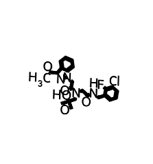 CC(=O)c1nn(CC(=O)N(CC(=O)NCc2cccc(Cl)c2F)CC2(O)COC2)c2ccccc12